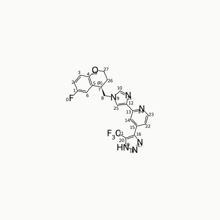 Fc1ccc2c(c1)[C@H](Cn1cnc(-c3cc(-c4nn[nH]c4C(F)(F)F)ccn3)c1)CCO2